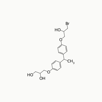 CC(c1ccc(OCC(O)CO)cc1)c1ccc(OCC(O)CBr)cc1